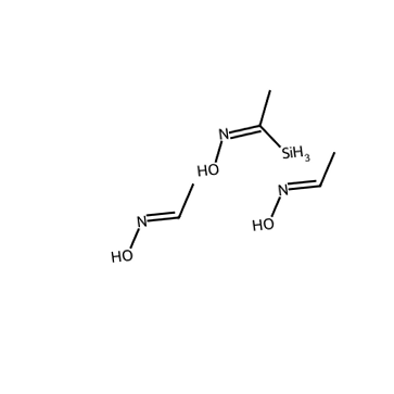 CC([SiH3])=NO.CC=NO.CC=NO